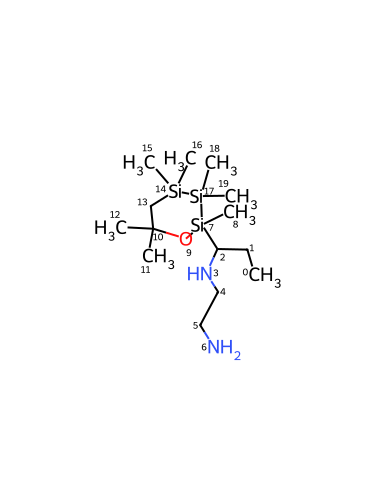 CCC(NCCN)[Si]1(C)OC(C)(C)C[Si](C)(C)[Si]1(C)C